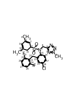 CC1=CC(S(=O)(=O)N(Cc2nnn(C)n2)c2ccc(Cl)cc2Cc2c(F)cccc2F)CC(C)=C1